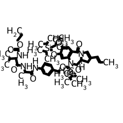 C=CCOC(=O)N[C@H](C(=O)N[C@@H](C)C(=O)Nc1ccc(COC(=O)N2c3cc(O[Si](C(C)C)(C(C)C)C(C)C)c(OC)cc3C(=O)N3C=C(C=CC)C[C@H]3[C@@H]2O[Si](C)(C)C(C)(C)C)cc1)C(C)C